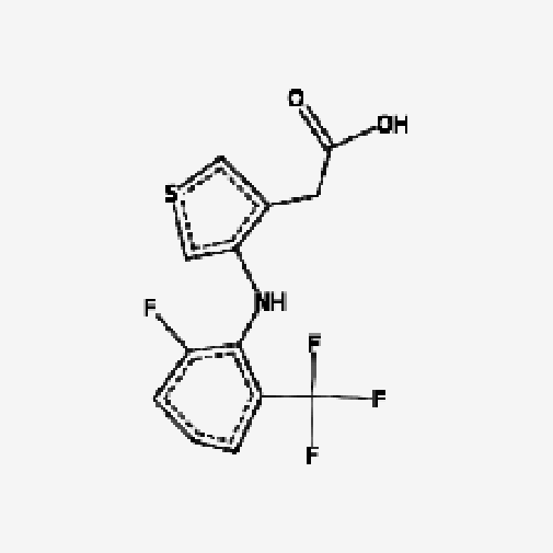 O=C(O)Cc1cscc1Nc1c(F)cccc1C(F)(F)F